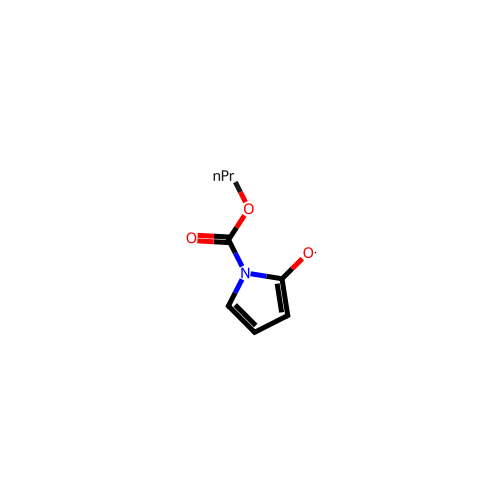 CCCOC(=O)n1cccc1[O]